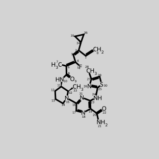 C=C/C(=C\C(F)=C(/C)C(=O)N[C@@H]1CCCN(c2cnc(C(N)=O)c(Nc3nc(C)cs3)n2)[C@@H]1C)C1CC1